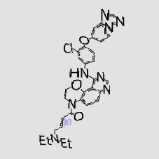 CCN(CC)C/C=C/C(=O)N1CCOc2c1ccc1ncnc(Nc3ccc(Oc4ccn5ncnc5c4)c(Cl)c3)c21